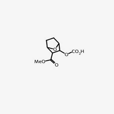 COC(=O)C1C2CCC(O2)C1OC(=O)O